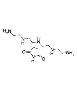 NCCNCCNCCNCCN.O=C1CCC(=O)N1